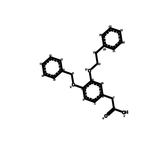 O=C(O)Cc1ccc(OCc2ccccc2)c(OCCc2ccccc2)c1